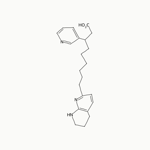 O=C(O)CC(CCCCCCc1ccc2c(n1)NCCC2)c1cccnc1